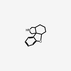 c1ccc2c(c1)OC1CCCC3CNCCC231